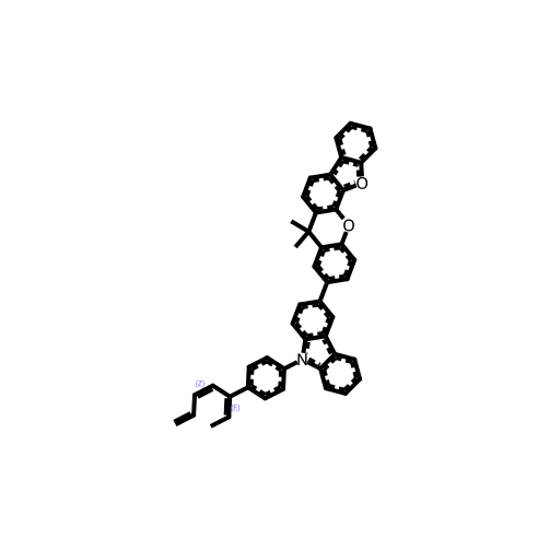 C=C/C=C\C(=C/C)c1ccc(-n2c3ccccc3c3cc(-c4ccc5c(c4)C(C)(C)c4ccc6c(oc7ccccc76)c4O5)ccc32)cc1